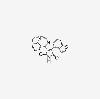 O=C1NC(=O)C(c2cccc3sccc23)=C1C1=NC=CN2CCc3cccc1c32